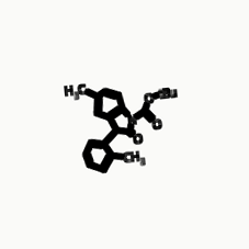 Cc1ccc2c(c1)C(c1ccccc1C)C(=O)N2C(=O)OC(C)(C)C